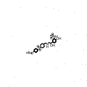 CCCCOc1ccc(S(=O)(=O)N2CCC(CNC[C@H](O)c3ccc(O)c(NS(C)(=O)=O)c3)CC2)cc1